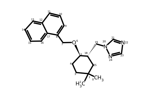 CC1(C)CC[C@@H](OCc2cccc3ccccc23)[C@H](Cn2cncn2)C1